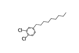 CCCCCCCCCc1ccc(Cl)c(Cl)c1